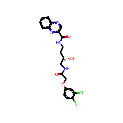 O=C(COc1ccc(Cl)c(Cl)c1)NC[C@@H](O)CCNC(=O)c1cnc2ccccc2n1